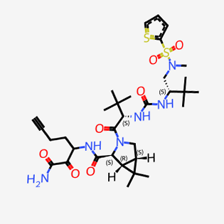 C#CCCC(NC(=O)[C@@H]1[C@@H]2[C@H](CN1C(=O)[C@@H](NC(=O)N[C@H](CN(C)S(=O)(=O)c1cccs1)C(C)(C)C)C(C)(C)C)C2(C)C)C(=O)C(N)=O